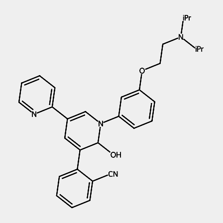 CC(C)N(CCOc1cccc(N2C=C(c3ccccn3)C=C(c3ccccc3C#N)C2O)c1)C(C)C